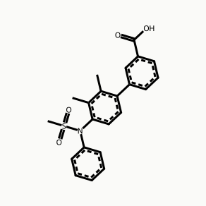 Cc1c(-c2cccc(C(=O)O)c2)ccc(N(c2ccccc2)S(C)(=O)=O)c1C